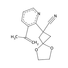 C=C(C)c1cccnc1C1(C#N)CC2(C1)OCCO2